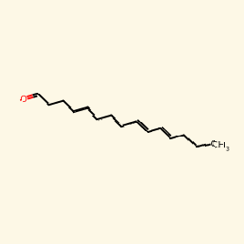 CCCC=CC=CCCCCCCCC=O